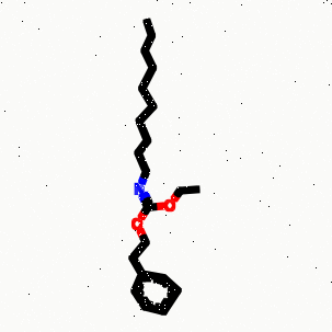 CCCCCCCCCCN=C(OCC)OCCc1ccccc1